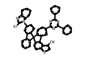 CCc1nc2ccccc2n1-c1ccc2c(c1)-c1ccccc1C21c2ccc(-c3nc(-c4ccccc4)nc(-c4ccccc4)n3)cc2-c2c1ccc1scc(C#N)c21